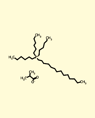 CC(C)C(=O)[O-].CCCCCCCCCCCCCC[P+](CCCCCC)(CCCCCC)CCCCCC